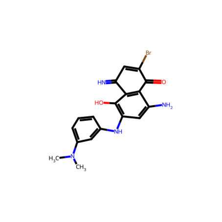 CN(C)c1cccc(Nc2cc(N)c3c(c2O)C(=N)C=C(Br)C3=O)c1